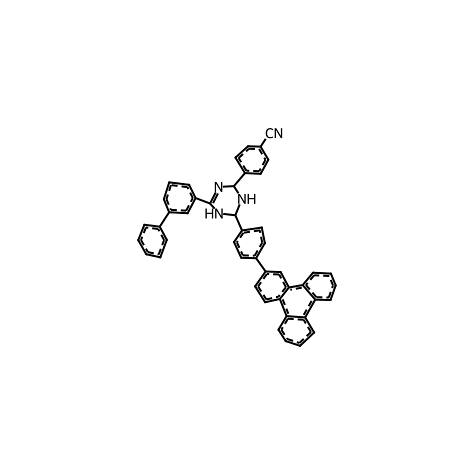 N#Cc1ccc(C2N=C(c3cccc(-c4ccccc4)c3)NC(c3ccc(-c4ccc5c6ccccc6c6ccccc6c5c4)cc3)N2)cc1